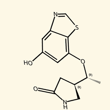 C[C@@H](Oc1cc(O)cc2ncsc12)[C@H]1CNC(=O)C1